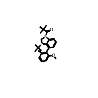 COc1cccc(C)c1-c1cccc2c1P(C(C)(C)C)CN2C(=O)C(C)(C)C